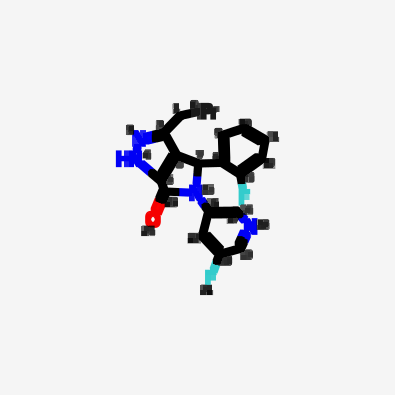 CC(C)Cc1n[nH]c2c1C(c1ccccc1F)N(c1cncc(F)c1)C2=O